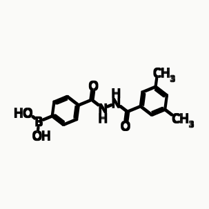 Cc1cc(C)cc(C(=O)NNC(=O)c2ccc(B(O)O)cc2)c1